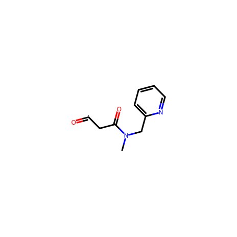 CN(Cc1ccccn1)C(=O)C[C]=O